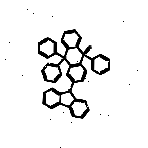 S=P1(c2ccccc2)c2ccccc2[Si](c2ccccc2)(c2ccccc2)c2cc(-n3c4ccccc4c4ccccc43)ccc21